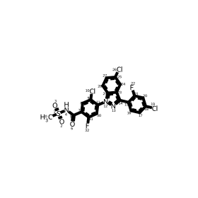 CS(=O)(=O)NC(=O)c1cc(Cl)c(-n2nc(-c3ccc(Cl)cc3F)c3cc(Cl)ccc32)cc1F